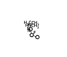 CC(C)(C)Nc1ccc(-c2cccc(-c3ccccc3)c2F)nn1